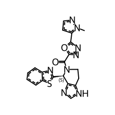 Cn1nccc1-c1nnc(C(=O)N2CCc3[nH]cnc3[C@H]2c2nc3ccccc3s2)o1